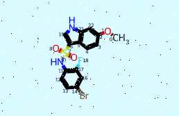 COc1ccc2c(S(=O)(=O)Nc3ccc(Br)cc3F)c[nH]c2c1